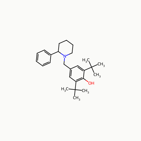 CC(C)(C)c1cc(CN2CCCCC2c2ccccc2)cc(C(C)(C)C)c1O